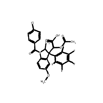 COc1ccc2c(c1)C(c1c(F)c(F)c(F)c(F)c1F)(C(OC(C)=O)C(=O)O)C(C)N2C(=O)c1ccc(Cl)cc1